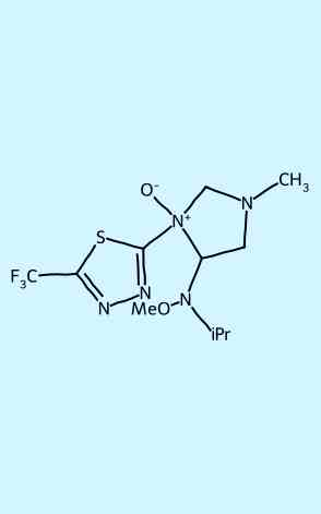 CON(C(C)C)C1CN(C)C[N+]1([O-])c1nnc(C(F)(F)F)s1